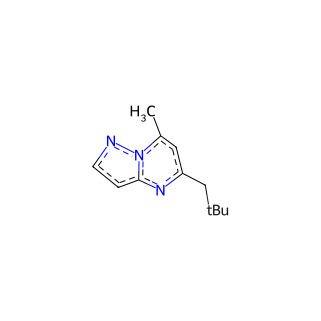 Cc1cc(CC(C)(C)C)nc2ccnn12